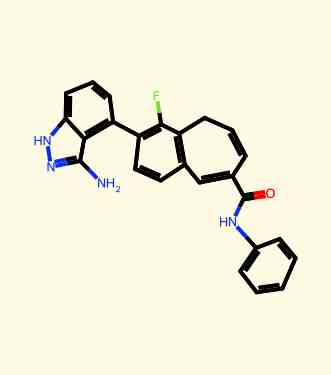 Nc1n[nH]c2cccc(-c3ccc4c(c3F)CC=CC(C(=O)Nc3ccccc3)=C4)c12